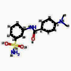 CN(C)c1ccc(C(=O)Nc2cccc(S(N)(=O)=O)c2)cc1